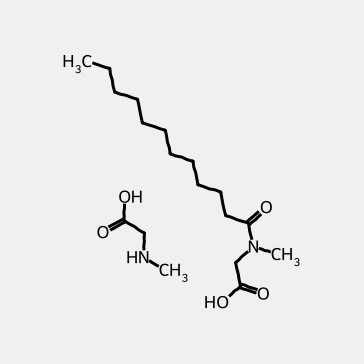 CCCCCCCCCCCC(=O)N(C)CC(=O)O.CNCC(=O)O